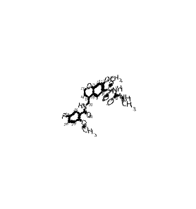 CNC(=O)NS(=O)(=O)c1cc2c(cc1OC)OCCC2CNC(=O)c1cc(F)ccc1OC